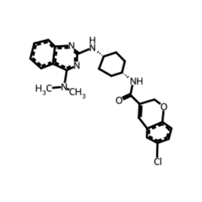 CN(C)c1nc(N[C@H]2CC[C@@H](NC(=O)C3=Cc4cc(Cl)ccc4OC3)CC2)nc2ccccc12